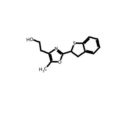 Cc1oc(C2Cc3ccccc3S2)nc1CCO